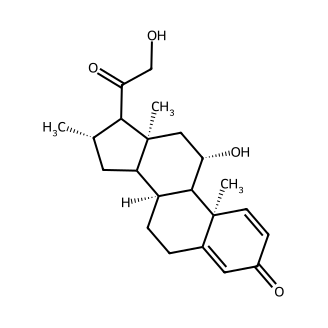 C[C@H]1CC2[C@@H]3CCC4=CC(=O)C=C[C@]4(C)C3[C@@H](O)C[C@]2(C)C1C(=O)CO